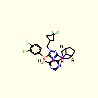 Cc1cc(N2C[C@H]3CC[C@@H](C2)C3Nc2nc(Oc3ccc(F)c(Cl)c3)n(CC3CC(F)(F)C3)n2)ncn1